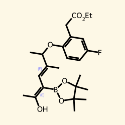 CCOC(=O)Cc1cc(F)ccc1OC(C)/C(C)=C/C(B1OC(C)(C)C(C)(C)O1)=C(\C)O